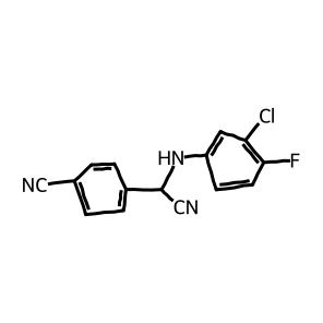 N#Cc1ccc(C(C#N)Nc2ccc(F)c(Cl)c2)cc1